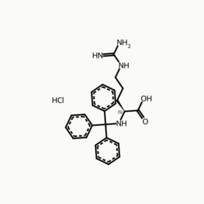 Cl.N=C(N)NCCC[C@H](NC(c1ccccc1)(c1ccccc1)c1ccccc1)C(=O)O